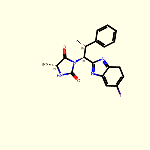 CC(C)[C@H]1NC(=O)N([C@H](C2=NC3=CC(I)=CCC3=N2)[C@H](C)c2ccccc2)C1=O